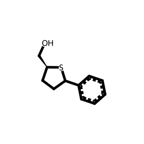 OC[C@@H]1CCC(c2ccccc2)S1